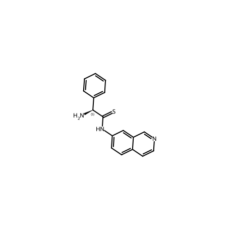 N[C@H](C(=S)Nc1ccc2ccncc2c1)c1ccccc1